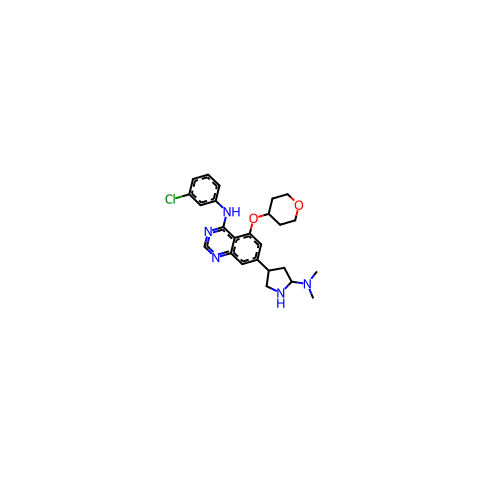 CN(C)C1CC(c2cc(OC3CCOCC3)c3c(Nc4cccc(Cl)c4)ncnc3c2)CN1